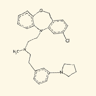 CN(CCc1cccc(N2CCCC2)c1)CCN1c2cc(Cl)ccc2COc2ccccc21